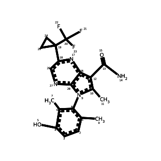 Cc1ccc(O)c(C)c1-n1c(C)c(C(N)=O)c2nc(C3(C(F)(F)F)CC3)cnc21